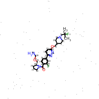 CC(C)(F)CN1CCC(COc2ccc(-c3ccc(C(=O)N4CCC[C@H]4COCN)c(F)c3)nn2)CC1